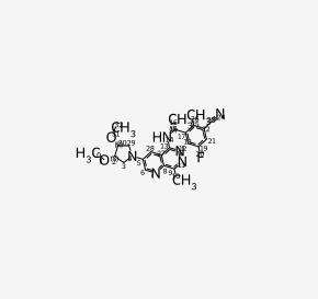 CO[C@H]1CN(c2cnc3c(C)nnc(N[C@H](C)c4cc(F)cc(C#N)c4C)c3c2)C[C@H]1OC